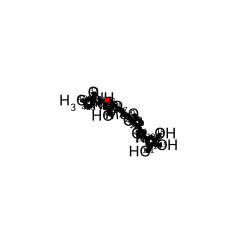 COc1ccc(-c2cc(-c3cc(CO)c(CO)c(CO)c3)no2)cc1OCCCCOc1ccc(C2NC(=O)c3cc(C)ccc3N2)cc1CO